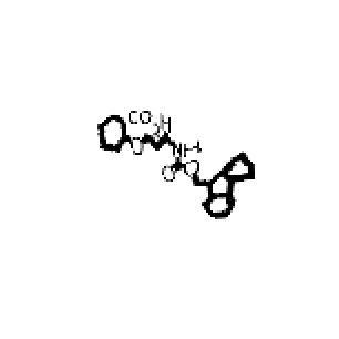 O=C(NC(CCOC1CCCCC1)C(=O)O)OCC1c2ccccc2-c2ccccc21